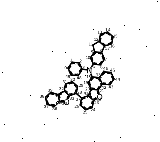 c1ccc(N(c2ccc3c(c2)Cc2ccccc2-3)c2cc3c(oc4cccc(-c5cccc6c5oc5ccccc56)c43)c3ccccc23)cc1